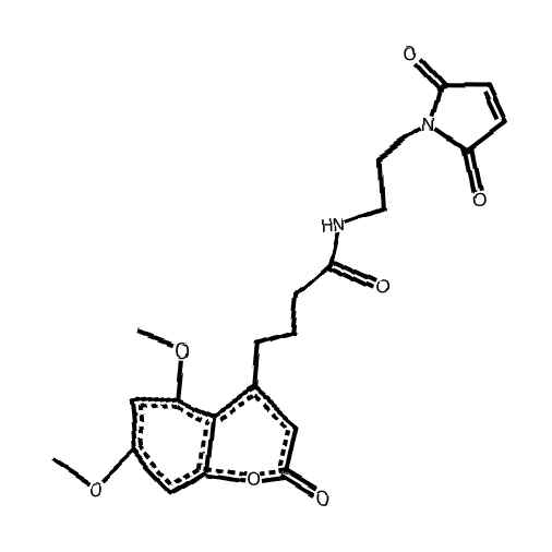 COc1cc(OC)c2c(CCCC(=O)NCCN3C(=O)C=CC3=O)cc(=O)oc2c1